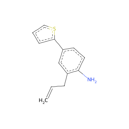 C=CCc1cc(-c2cccs2)ccc1N